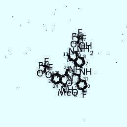 COc1cc(C(Nc2ccc3c(N)nccc3c2)c2nc(-c3ccccc3C(N)=O)c[nH]2)ccc1F.O=C(O)C(F)(F)F.O=C(O)C(F)(F)F